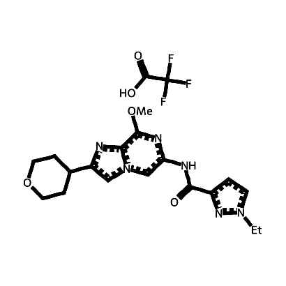 CCn1ccc(C(=O)Nc2cn3cc(C4CCOCC4)nc3c(OC)n2)n1.O=C(O)C(F)(F)F